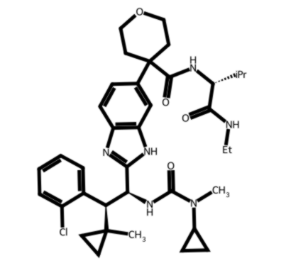 CCNC(=O)[C@H](NC(=O)C1(c2ccc3nc([C@@H](NC(=O)N(C)C4CC4)[C@H](c4ccccc4Cl)C4(C)CC4)[nH]c3c2)CCOCC1)C(C)C